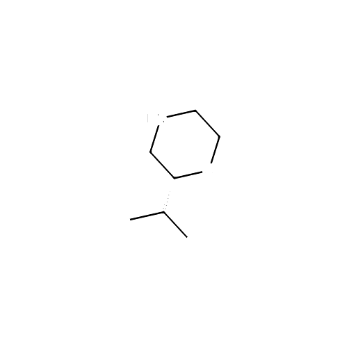 CC(C)[C@@H]1CNCCO1